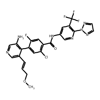 COC/C=C/c1cncc(N)c1-c1cc(Cl)c(C(=O)Nc2cnc(-n3nccn3)c(C(F)(F)F)c2)cc1F